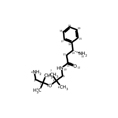 CC(C)(CN)OC(C)(C)CNC(=O)C[C@@H](N)c1ccccc1